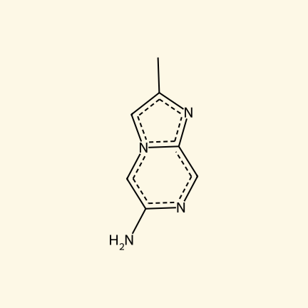 Cc1cn2cc(N)ncc2n1